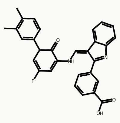 Cc1ccc(C2C=C(F)C=C(NC=C3C(c4cccc(C(=O)O)c4)=Nc4ccccc43)C2=O)cc1C